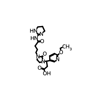 CCOc1ccc(C(CC(=O)O)N2CCN(CCCC(=O)NC3=NCCCN3)C2=O)cn1